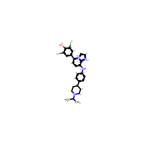 CC(C)N1CCC(c2ccc(Nc3ccc(-c4cc(F)c(O)c(F)c4)n4ccnc34)cc2)CC1